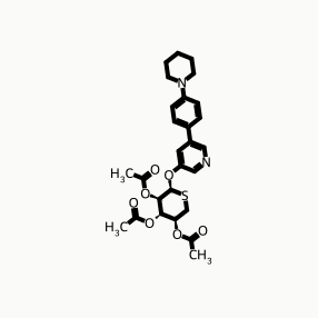 CC(=O)O[C@@H]1[C@@H](OC(C)=O)[C@@H](Oc2cncc(-c3ccc(N4CCCCC4)cc3)c2)SC[C@H]1OC(C)=O